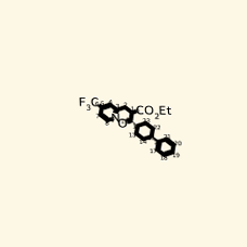 CCOC(=O)C(Cc1cc(C(F)(F)F)ccn1)C(=O)[C@H]1CC[C@H](c2ccccc2)CC1